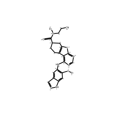 CCOc1cc2[nH]ncc2cc1Nc1ncnc2sc3c(c12)CCC(C(=O)N(CC)CCC#N)C3